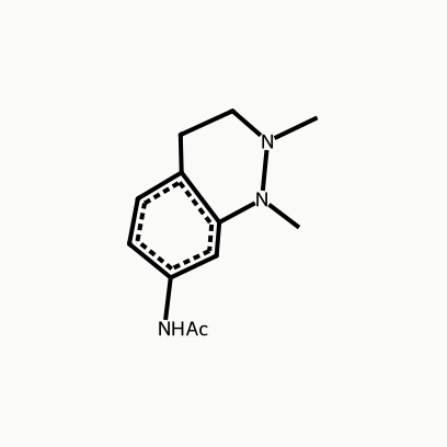 CC(=O)Nc1ccc2c(c1)N(C)N(C)CC2